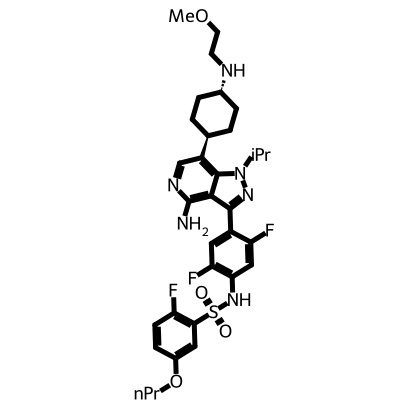 CCCOc1ccc(F)c(S(=O)(=O)Nc2cc(F)c(-c3nn(C(C)C)c4c3c(N)ncc4[C@H]3CC[C@H](NCCOC)CC3)cc2F)c1